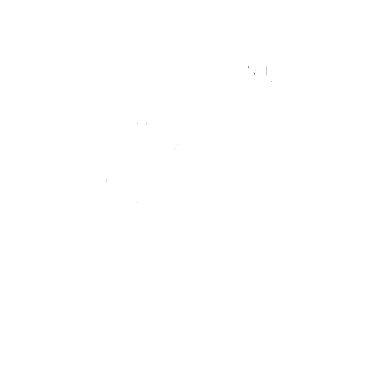 CCOC(=O)CC(=O)CCN